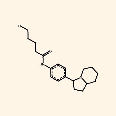 O=C(CCCCCl)Nc1ccc(C2CCC3CCCCN32)cc1